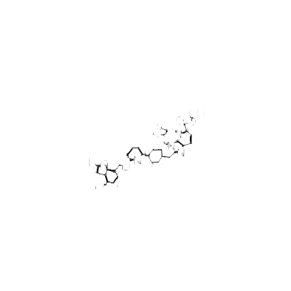 COC(=O)c1ccc2nc(CC3CCC(c4cccc(OCc5ccc(Cl)c6cc(F)oc56)n4)CC3)n(C[C@@H]3CCO3)c2n1